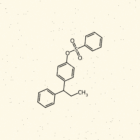 CCC(c1ccccc1)c1ccc(OS(=O)(=O)c2ccccc2)cc1